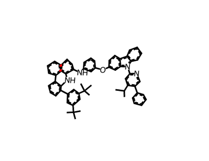 CC(C)c1cc(-n2c3ccccc3c3ccc(Oc4cccc(Nc5ccccc5Nc5c(-c6ccccc6)cccc5-c5cc(C(C)(C)C)cc(C(C)(C)C)c5)c4)cc32)ncc1-c1ccccc1